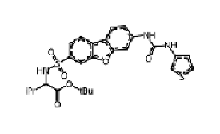 CC(C)C(NS(=O)(=O)c1ccc2c(c1)oc1cc(NC(=O)Nc3ccsc3)ccc12)C(=O)OC(C)(C)C